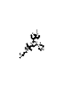 Cc1nn(CCCN(C)C)c(C)c1-c1cc(N2CCOC[C@H]2C)nc(-c2ccnc3[nH]ccc23)n1